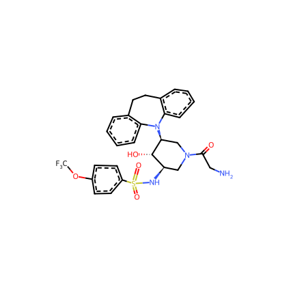 NCC(=O)N1C[C@@H](NS(=O)(=O)c2ccc(OC(F)(F)F)cc2)[C@H](O)[C@@H](N2c3ccccc3CCc3ccccc32)C1